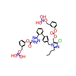 CCCCc1nc(Cl)c(COC(=O)Oc2cccc(CON(O)O)c2)n1Cc1ccc(-c2ccccc2-c2nnn(C(=O)Oc3cccc(CON(O)O)c3)n2)cc1